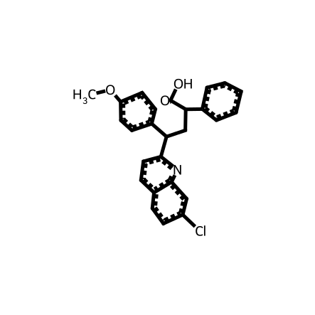 COc1ccc(C(CC(C(=O)O)c2ccccc2)c2ccc3ccc(Cl)cc3n2)cc1